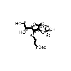 CCCCCCCCCCCCOC1=C(OP(=O)(O)O)C(=O)O[C@@H]1[C@@H](O)CO